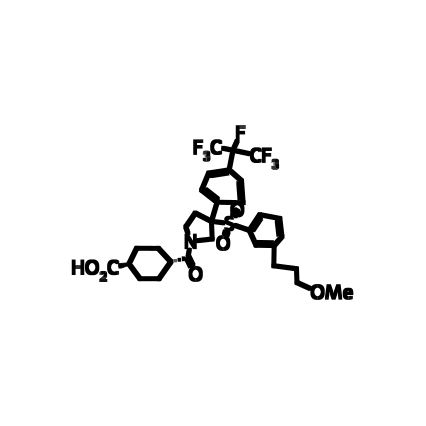 COCCCc1cccc(S(=O)(=O)C2(c3ccc(C(F)(C(F)(F)F)C(F)(F)F)cc3)CCN(C(=O)[C@H]3CC[C@H](C(=O)O)CC3)C2)c1